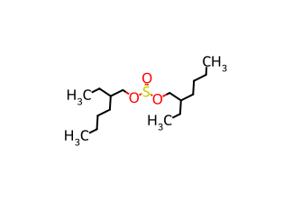 CCCCC(CC)COS(=O)OCC(CC)CCCC